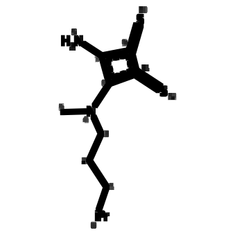 CC(C)CCCN(C)c1c(N)c(=S)c1=S